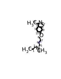 C=CCN(C)C/C=C/COc1ccc2c(C)nsc2c1